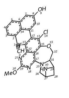 C#Cc1cccc2cc(O)cc(-c3c(Cl)c4c5c(nc(OC)nc5c3F)N3CC5CC(N5)C3CO4)c12